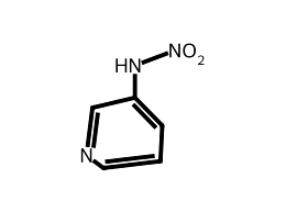 O=[N+]([O-])Nc1cccnc1